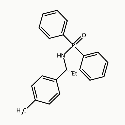 CC[C@@H](NP(=O)(c1ccccc1)c1ccccc1)c1ccc(C)cc1